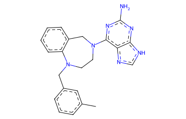 Cc1cccc(CN2CCN(c3nc(N)nc4[nH]cnc34)Cc3ccccc32)c1